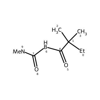 CCC(C)(C)C(=O)BC(=O)NC